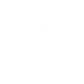 COC1C=CC2=C3CCC(=O)NC3CCC2=C1